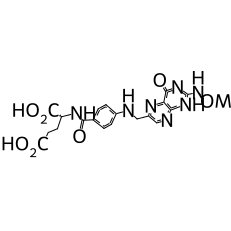 CONc1nc(=O)c2nc(CNc3ccc(C(=O)N[C@@H](CCC(=O)O)C(=O)O)cc3)cnc2[nH]1